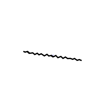 CCC=CCCCCCCCC/[C]=C/CCCCCCCCCCCC